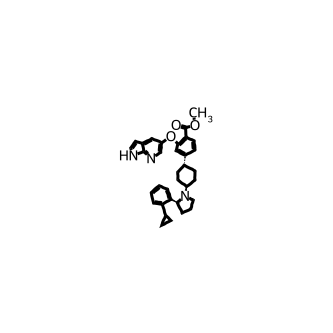 COC(=O)c1ccc([C@H]2CC[C@H](N3CCC[C@H]3c3ccccc3C3CC3)CC2)cc1Oc1cnc2[nH]ccc2c1